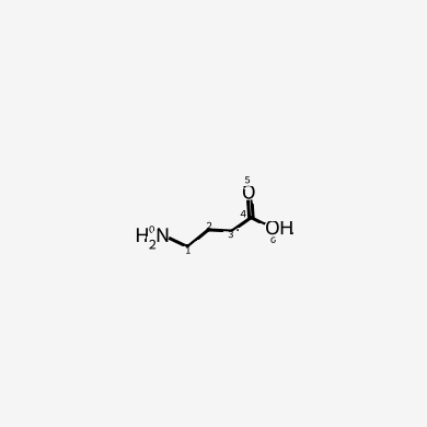 NCC[CH]C(=O)O